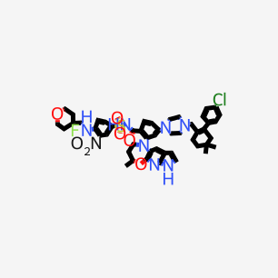 CC1CCN(c2cc(N3CCN(CC4=C(c5ccc(Cl)cc5)CC(C)(C)CC4)CC3)ccc2C(=O)NS(=O)(=O)c2ccc(NCC3(F)CCOCC3)c([N+](=O)[O-])c2)c2cc3cc[nH]c3nc2O1